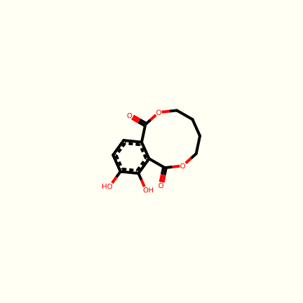 O=C1OCCCCOC(=O)c2c1ccc(O)c2O